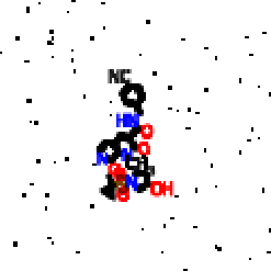 Cn1c(=O)c(C(=O)NCc2ccc(C#N)cc2)cc2ccnc(OCC3(S(=O)(=O)N4CCC(O)C4)CC3)c21